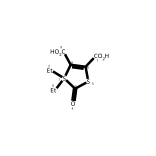 CCS1(CC)C(=O)SC(C(=O)O)=C1C(=O)O